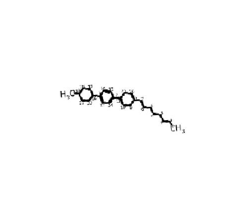 CCCCCCCCC1CCC(c2ccc(C3CCC(C)CC3)cc2)CC1